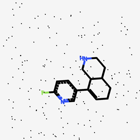 Fc1ccc(C2=CCCC3CCNCC23)cn1